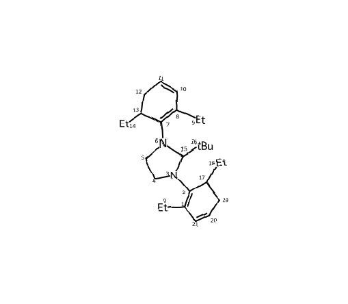 CCC1=C(N2CCN(C3=C(CC)C=CCC3CC)C2C(C)(C)C)C(CC)CC=C1